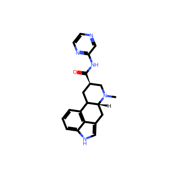 CN1C[C@H](C(=O)Nc2cnccn2)CC2c3cccc4[nH]cc(c34)C[C@H]21